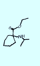 CCOC(=O)C1(NC(C)C)CCCCC1